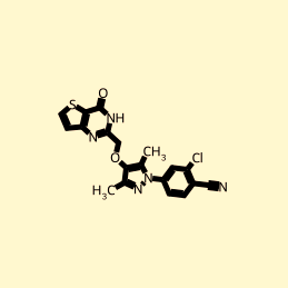 Cc1nn(-c2ccc(C#N)c(Cl)c2)c(C)c1OCc1nc2ccsc2c(=O)[nH]1